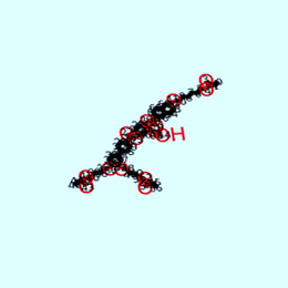 C=CC(=O)OCCCCCCOc1ccc2cc(C(=O)Oc3ccc(OC(=O)C4CCC(c5ccc(OCCCCOC(=O)C=C)c(OCCCCOC(=O)C=C)c5)CC4)cc3OCO)ccc2c1